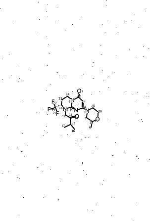 CC1CN(c2cc(=O)n3c(n2)N(CC(=O)C(C)C)[C@H](C(F)(F)F)CC3)CCO1